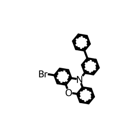 Brc1ccc2c(c1)Oc1ccccc1N2c1cccc(-c2ccccc2)c1